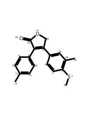 CSc1ccc(C2=C(c3ccc(C)cc3)C(=O)OC2)cc1C